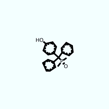 CP(C)(=O)C(c1ccccc1)(c1ccccc1)c1ccc(O)cc1